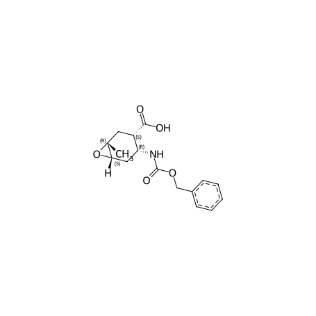 C[C@@]12C[C@H](C(=O)O)[C@H](NC(=O)OCc3ccccc3)C[C@@H]1O2